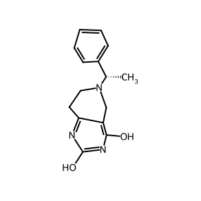 C[C@@H](c1ccccc1)N1CCc2nc(O)nc(O)c2C1